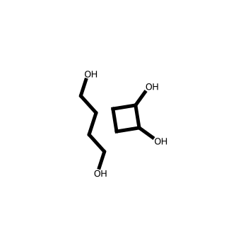 OC1CCC1O.OCCCCO